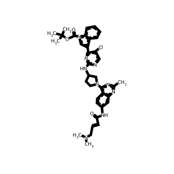 Cc1nc(N2CCC(Nc3ncc(Cl)c(-c4cn(C(=O)OC(C)(C)C)c5ccccc45)n3)C2)c2ccc(NC(=O)/C=C/CN(C)C)cc2n1